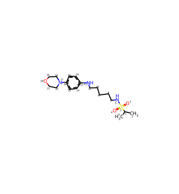 CC(C)S(=O)(=O)NCCCCCNc1ccc(N2CCOCC2)cc1